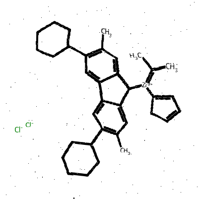 C[C](C)=[Zr+2]([C]1=CC=CC1)[CH]1c2cc(C)c(C3CCCCC3)cc2-c2cc(C3CCCCC3)c(C)cc21.[Cl-].[Cl-]